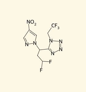 O=[N+]([O-])c1cnn(C(CC(F)F)c2nnnn2CC(F)(F)F)c1